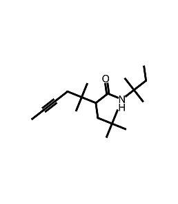 CC#CCC(C)(C)C(CC(C)(C)C)C(=O)NC(C)(C)CC